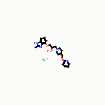 Cc1nc2c(OCC(O)CN3CCC(COc4ccccn4)CC3)cccc2[nH]1.Cl